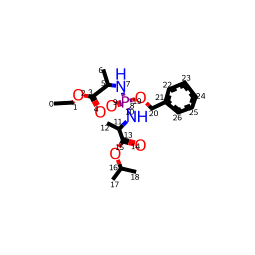 CCOC(=O)C(C)NP(=O)(NC(C)C(=O)OC(C)C)OCc1ccccc1